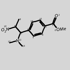 COC(=O)c1ccc(C(C(C)[N+](=O)[O-])N(C)C)cc1